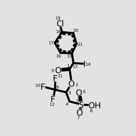 O=C(OC(CS(=O)(=O)O)C(F)(F)F)C(I)c1ccc(Cl)cc1